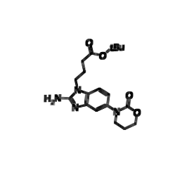 CC(C)(C)OC(=O)CCCn1c(N)nc2cc(N3CCCOC3=O)ccc21